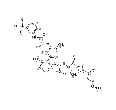 COCCC(=O)N1CC(C(=O)N2C[C@H](c3nc(-c4ccc(C(=O)Nc5cc(C(F)(F)F)ccn5)cc4OC)c4c(N)nccn34)OC[C@@H]2C)C1